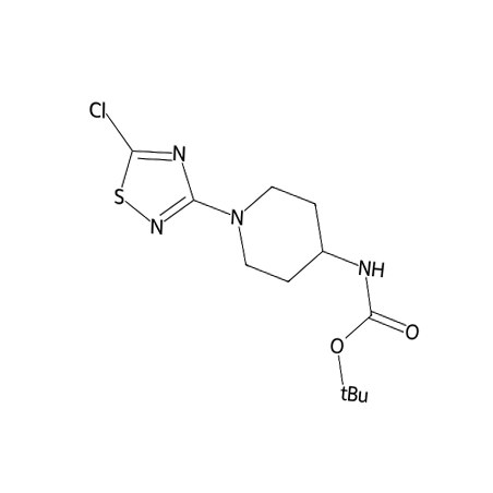 CC(C)(C)OC(=O)NC1CCN(c2nsc(Cl)n2)CC1